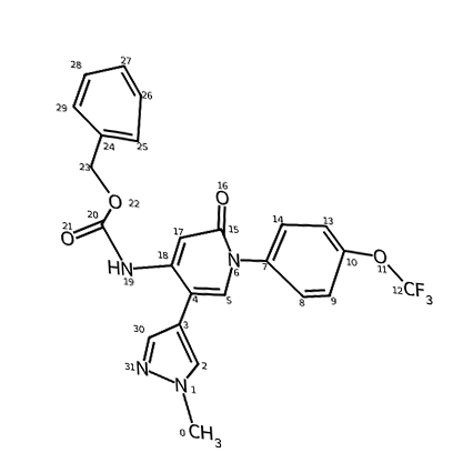 Cn1cc(-c2cn(-c3ccc(OC(F)(F)F)cc3)c(=O)cc2NC(=O)OCc2ccccc2)cn1